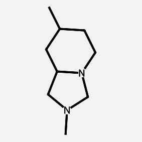 CC1CCN2CN(C)CC2C1